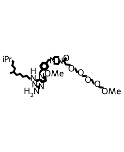 COCCOCCOCCOCCOCCC(=O)N1CCN(Cc2ccc(Cn3ccc4nc(N)nc(NCCCCCC(C)CCCC(C)C)c43)c(OC)c2)CC1